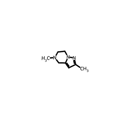 Cc1cc2n(n1)CCN(C)C2